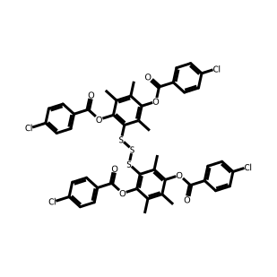 Cc1c(C)c(OC(=O)c2ccc(Cl)cc2)c(SSSc2c(C)c(OC(=O)c3ccc(Cl)cc3)c(C)c(C)c2OC(=O)c2ccc(Cl)cc2)c(C)c1OC(=O)c1ccc(Cl)cc1